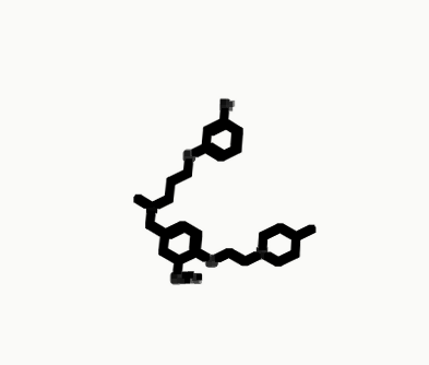 COC1CC(CN(C)CCCOc2cccc(Br)c2)=CC=C1OCCN1CCC(C)CC1